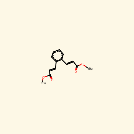 CC(C)(C)OC(=O)/C=C/c1ccccc1/C=C/C(=O)OC(C)(C)C